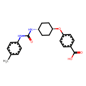 Cc1ccc(NC(=O)N[C@H]2CC[C@H](Oc3ccc(C(=O)O)cc3)CC2)cc1